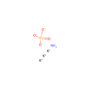 N.O=P([O-])([O-])[O-].[K+].[K+].[K+]